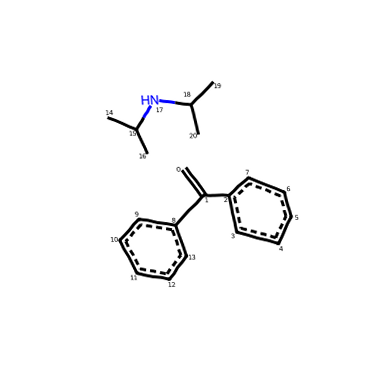 C=C(c1ccccc1)c1ccccc1.CC(C)NC(C)C